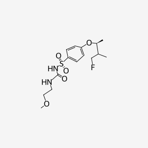 COCCNC(=O)NS(=O)(=O)c1ccc(O[C@@H](C)C(C)CF)cc1